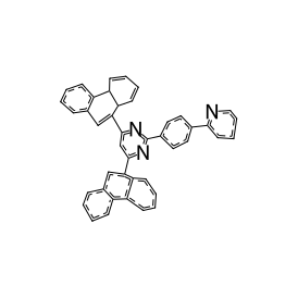 C1=CC2C(c3cc(-c4cc5ccccc5c5ccccc45)nc(-c4ccc(-c5ccccn5)cc4)n3)=Cc3ccccc3C2C=C1